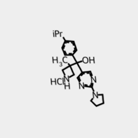 CC(C)c1ccc(C(O)(c2cnc(N3CCCC3)nc2)C2(C)CNC2)cc1.Cl